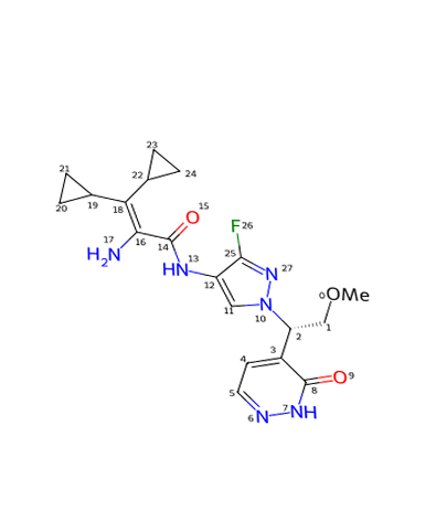 COC[C@H](c1ccn[nH]c1=O)n1cc(NC(=O)C(N)=C(C2CC2)C2CC2)c(F)n1